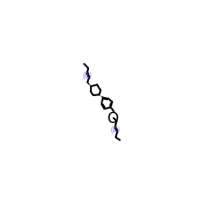 CC/C=C/COCc1ccc([C@H]2CC[C@H](C/C=C/CC)CC2)cc1